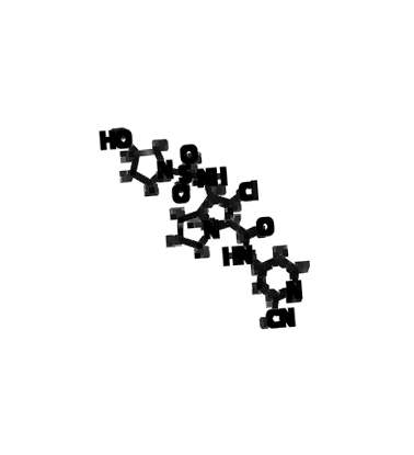 N#Cc1cc(NC(=O)c2c(Cl)c(NS(=O)(=O)N3CCC(O)C3)c3n2CCC3)ccn1